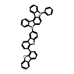 c1ccc(-n2c3ccccc3c3c4c5ccccc5n(-c5ccc6sc7c(-c8cccc9c8oc8ccccc89)cccc7c6c5)c4ccc32)cc1